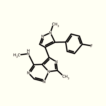 CNc1ncnn2c(C)nc(-c3cnn(C)c3-c3ccc(F)cc3)c12